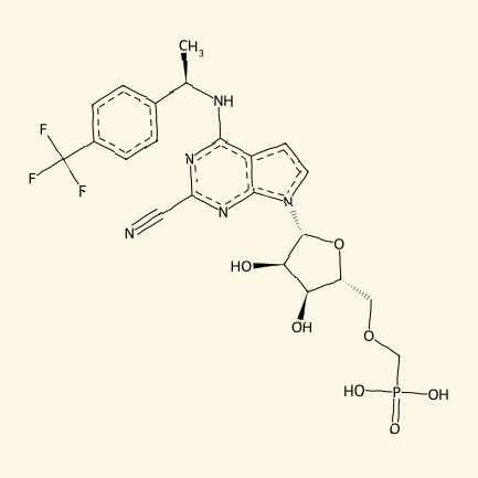 C[C@@H](Nc1nc(C#N)nc2c1ccn2[C@@H]1O[C@H](COCP(=O)(O)O)[C@@H](O)[C@H]1O)c1ccc(C(F)(F)F)cc1